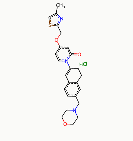 Cc1csc(COc2ccn(C3=Cc4ccc(CN5CCOCC5)cc4CC3)c(=O)c2)n1.Cl